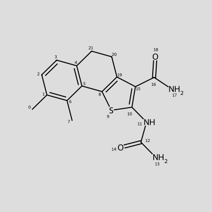 Cc1ccc2c(c1C)-c1sc(NC(N)=O)c(C(N)=O)c1CC2